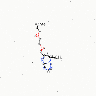 COCCOCCOCc1cc(C)n2ncnc2n1